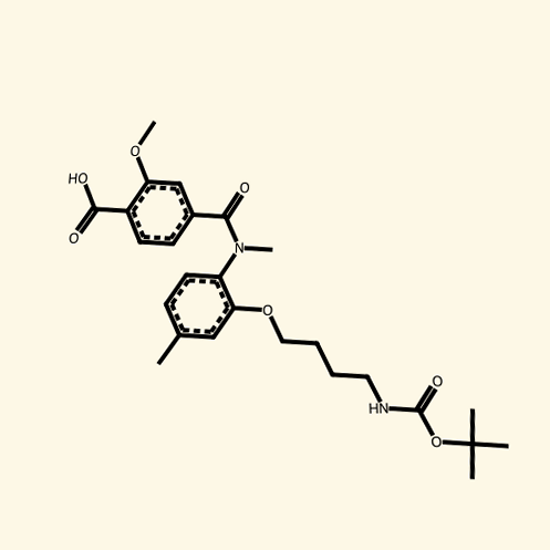 COc1cc(C(=O)N(C)c2ccc(C)cc2OCCCCNC(=O)OC(C)(C)C)ccc1C(=O)O